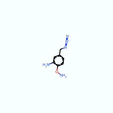 [N-]=[N+]=NCc1ccc(ON)c(N)c1